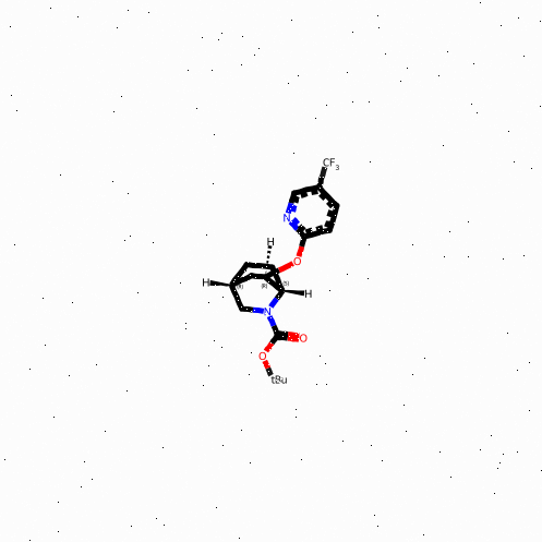 CC(C)(C)OC(=O)N1C[C@@H]2CC[C@H]1[C@H](Oc1ccc(C(F)(F)F)cn1)C2